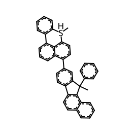 C[SH]1c2ccccc2-c2cccc3c(-c4ccc5c(c4)C(C)(c4ccccc4)c4c-5ccc5ccccc45)ccc1c23